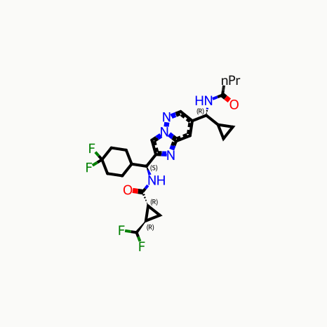 CCCC(=O)N[C@@H](c1cnn2cc([C@@H](NC(=O)[C@@H]3C[C@H]3C(F)F)C3CCC(F)(F)CC3)nc2c1)C1CC1